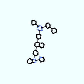 c1ccc(-c2cccc(-c3nc(-c4ccccc4)nc(-c4ccc(-c5ccc(-c6ccc(-n7c(-c8ccccn8)nc8ccccc87)cc6)c6ccccc56)cc4)n3)c2)cc1